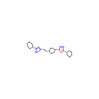 C(=Cc1cnn(-c2ccccc2)n1)c1ccc(-c2nnc(-c3ccccc3)o2)cc1